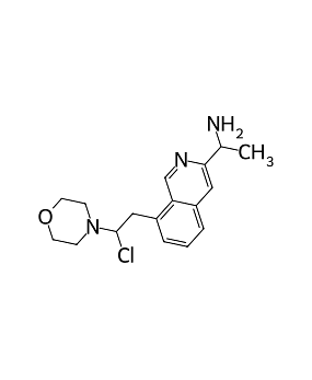 CC(N)c1cc2cccc(CC(Cl)N3CCOCC3)c2cn1